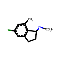 Cc1cc(F)cc2c1C(NC(=O)O)CC2